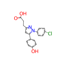 O=C(O)CCc1cc(-c2ccc(O)cc2)n(-c2ccc(Cl)cc2)n1